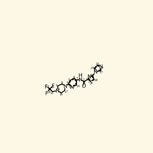 O=C(Nc1ccc(N2CCN(CC(F)(F)F)CC2)nc1)c1nc(-n2ccnc2)cs1